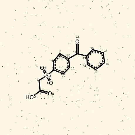 O=C(O)CS(=O)(=O)c1ccc(C(=O)c2ccccc2)cc1